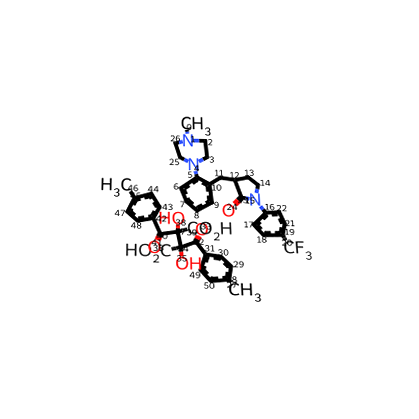 CN1CCN(c2ccccc2CC2CCN(c3ccc(C(F)(F)F)cc3)C2=O)CC1.Cc1ccc(C(=O)C(O)(C(=O)O)C(O)(C(=O)O)C(=O)c2ccc(C)cc2)cc1